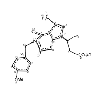 CCOC(=O)CC(C)n1nc(C(F)(F)F)c2c(=O)n(Cc3ccc(OC)cc3)ncc21